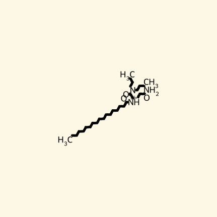 CCCCCCCCCCCCCCCCCC(=O)N[C@@H](CCC(N)=O)C(=O)N(CCCC)CCCC